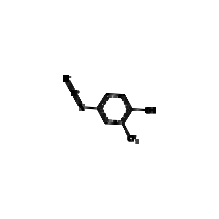 [N-]=[N+]=Nc1ccc(O)c(C(F)(F)F)c1